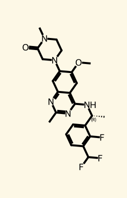 COc1cc2c(N[C@H](C)c3cccc(C(F)F)c3F)nc(C)nc2cc1N1CCN(C)C(=O)C1